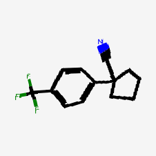 N#CC1(c2ccc(C(F)(F)F)cc2)CCCC1